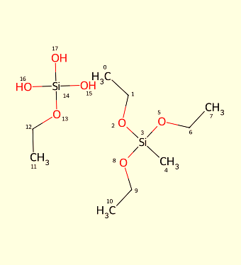 CCO[Si](C)(OCC)OCC.CCO[Si](O)(O)O